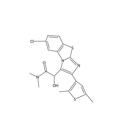 Cc1cc(-c2nc3sc4ccc(Cl)cc4n3c2C(O)C(=O)N(C)C)c(C)s1